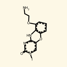 NCCOc1cccc2c1Nc1nc(=O)n(I)cc1O2